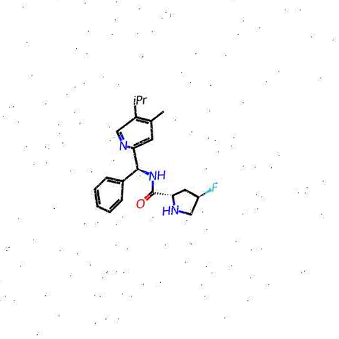 Cc1cc([C@@H](NC(=O)[C@@H]2C[C@@H](F)CN2)c2ccccc2)ncc1C(C)C